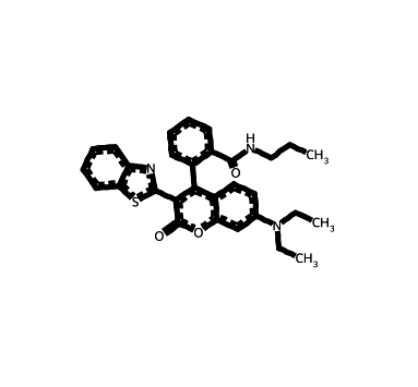 CCCNC(=O)c1ccccc1-c1c(-c2nc3ccccc3s2)c(=O)oc2cc(N(CC)CC)ccc12